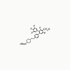 CCCCCCCCCC1CCC(CCc2ccc(-c3cc(F)c(C(=O)O)c(F)c3-c3cc(F)c(F)c(F)c3)cc2)CC1